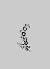 C=Cn1c(C(=O)N(C)C)cc2cnc(Nc3ccc(N4CCN(C)CC4)c(F)c3)nc21